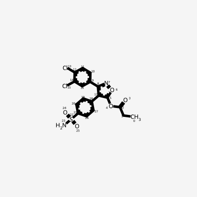 CCC(=O)Oc1onc(-c2ccc(Cl)c(Cl)c2)c1-c1ccc(S(N)(=O)=O)cc1